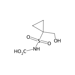 O=C(O)NS(=O)(=O)C1(CO)CC1